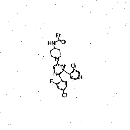 CCC(=O)NC1CCN(c2cnc(-c3ccc(Cl)cc3F)c(-c3ccncc3Cl)n2)CC1